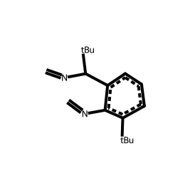 C=Nc1c(C(N=C)C(C)(C)C)cccc1C(C)(C)C